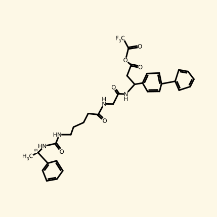 C[C@@H](NC(=O)NCCCCC(=O)NCC(=O)NC(CC(=O)OC(=O)C(F)(F)F)c1ccc(-c2ccccc2)cc1)c1ccccc1